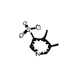 Cc1cncc(S(=O)(=O)Cl)c1C